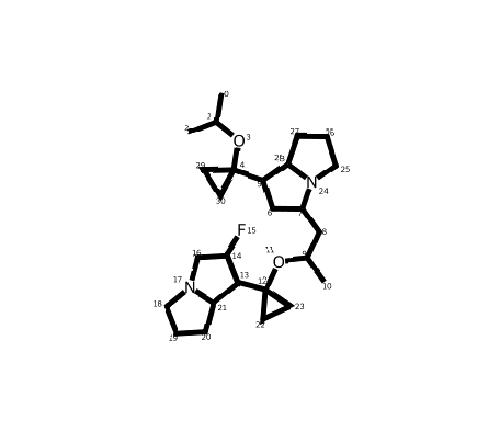 CC(C)OC1(C2CC(CC(C)OC3(C4C(F)CN5CCCC45)CC3)N3CCCC23)CC1